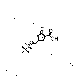 CC(C)(C)[Si](C)(C)OCC1CC(C(=O)O)N(Cl)C1